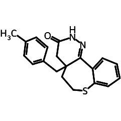 Cc1ccc(CC23CCSc4ccccc4C2=NNC(=O)C3)cc1